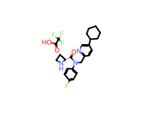 O=C(O)C(F)(F)F.O=C([C@H]1CCN1)N(Cc1ccc(C2CCCCC2)cn1)c1ccc(F)cc1